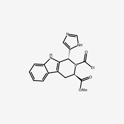 CCC(=O)N1[C@@H](c2cnc[nH]2)c2[nH]c3ccccc3c2C[C@@H]1C(=O)OC